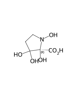 O=C(O)[C@@]1(O)N(O)CCC1(O)O